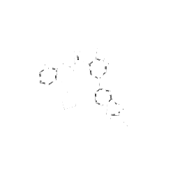 Cc1ncc(-c2ccn3nc(N)nc3c2)cc1C(=O)NCc1ncccc1OC1CCCC1